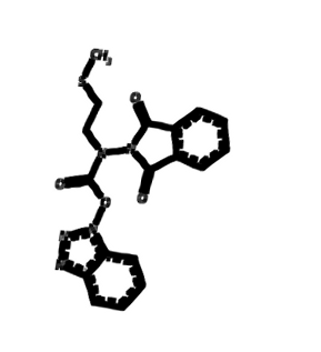 CSCCN(C(=O)On1nnc2ccccc21)N1C(=O)c2ccccc2C1=O